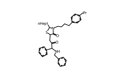 CCCCCCCC1SC(CC(=O)C(NCc2ccccc2)c2ccccc2)C(=O)N1CCCCc1ccc(C(C)C)cc1